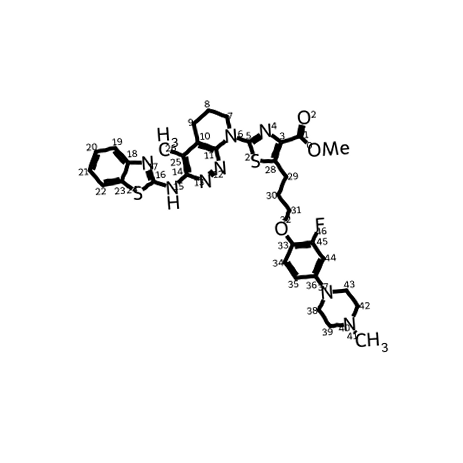 COC(=O)c1nc(N2CCCc3c2nnc(Nc2nc4ccccc4s2)c3C)sc1CCCOc1ccc(N2CCN(C)CC2)cc1F